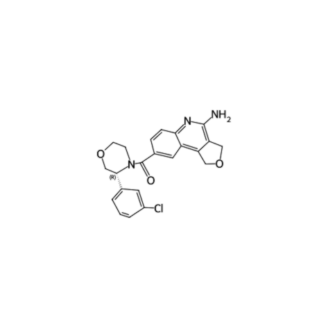 Nc1nc2ccc(C(=O)N3CCOC[C@H]3c3cccc(Cl)c3)cc2c2c1COC2